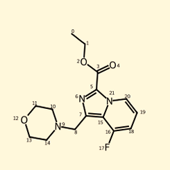 CCOC(=O)c1nc(CN2CCOCC2)c2c(F)cccn12